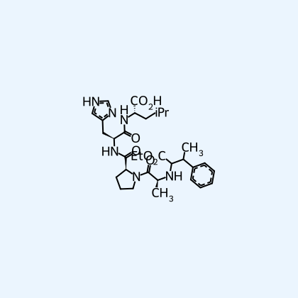 CCOC(=O)C(N[C@@H](C)C(=O)N1CCC[C@H]1C(=O)N[C@@H](Cc1c[nH]cn1)C(=O)N[C@@H](CC(C)C)C(=O)O)C(C)c1ccccc1